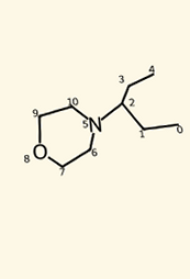 CCC(CC)N1CCOCC1